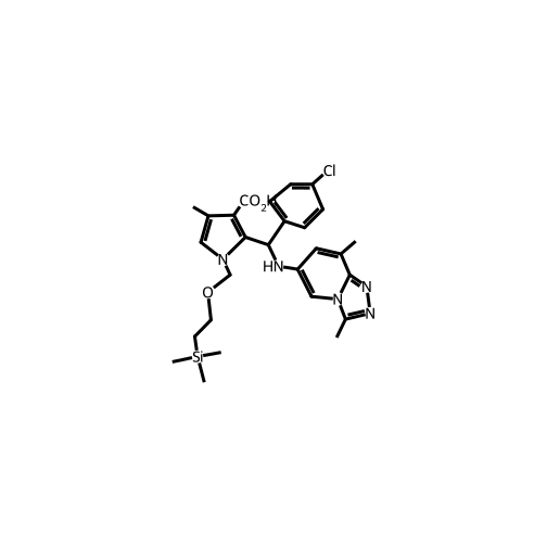 Cc1cn(COCC[Si](C)(C)C)c(C(Nc2cc(C)c3nnc(C)n3c2)c2ccc(Cl)cc2)c1C(=O)O